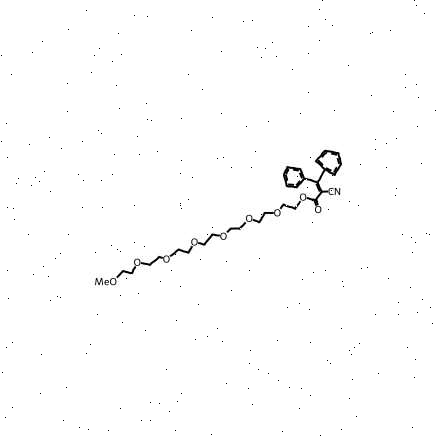 COCCOCCOCCOCCOCCOCCOCCOC(=O)C(C#N)=C(c1ccccc1)c1ccccc1